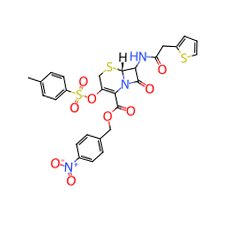 Cc1ccc(S(=O)(=O)OC2=C(C(=O)OCc3ccc([N+](=O)[O-])cc3)N3C(=O)C(NC(=O)Cc4cccs4)[C@H]3SC2)cc1